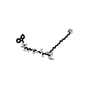 CC(C)(C)OC(=O)CCCCCCCCCCCCCCCCC(=O)NC(CCC(=O)NCCOCC(=O)NCCCCC(NC(=O)OCC1c2ccccc2-c2ccccc21)C(=O)O)C(=O)OC(C)(C)C